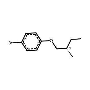 CC[C@H](C)COc1ccc(Br)cc1